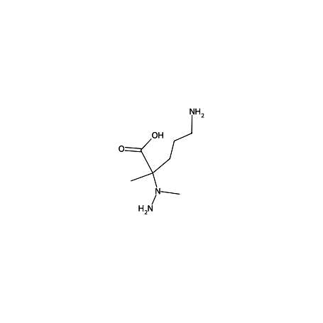 CN(N)C(C)(CCCN)C(=O)O